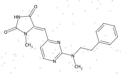 CN1C(=O)NC(=O)/C1=C/c1ccnc(N(C)CCc2ccccc2)n1